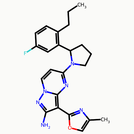 CCCc1ccc(F)cc1C1CCCN1c1ccn2nc(N)c(-c3nc(C)co3)c2n1